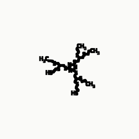 CCCSCC(CSc1nc(SCC(CSCCS)SCCC)nc(SCC(CSCCC)SCCS)n1)SCCC